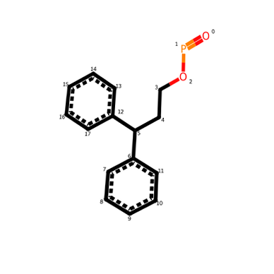 O=POCCC(c1ccccc1)c1ccccc1